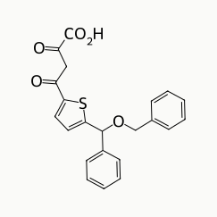 O=C(O)C(=O)CC(=O)c1ccc(C(OCc2ccccc2)c2ccccc2)s1